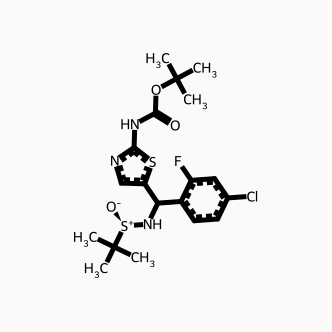 CC(C)(C)OC(=O)Nc1ncc(C(N[S@+]([O-])C(C)(C)C)c2ccc(Cl)cc2F)s1